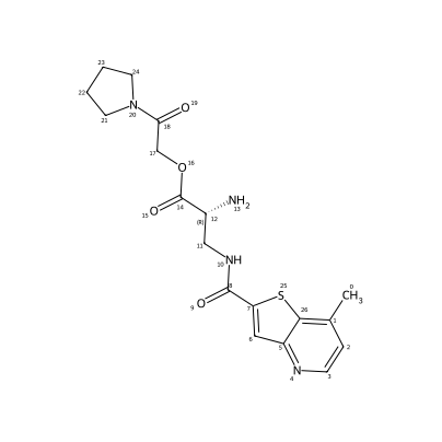 Cc1ccnc2cc(C(=O)NC[C@@H](N)C(=O)OCC(=O)N3CCCC3)sc12